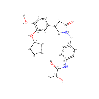 COc1ccc(C2CC(=O)N(Cc3ccc(NC(=O)C(C)=O)cc3)C2)cc1OC1CCCC1